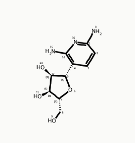 Nc1ccc([C@@H]2O[C@H](CO)[C@@H](O)[C@H]2O)c(N)n1